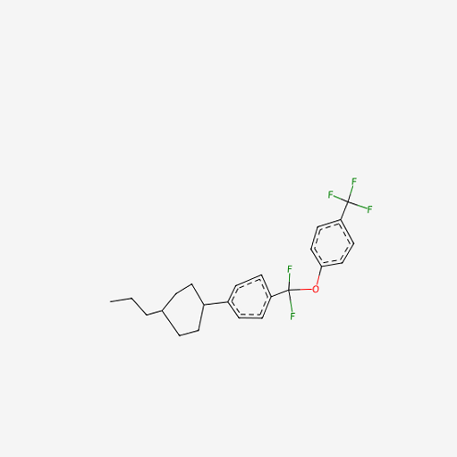 CCCC1CCC(c2ccc(C(F)(F)Oc3ccc(C(F)(F)F)cc3)cc2)CC1